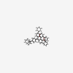 CC1(C)c2ccccc2-c2ccc(N(c3ccc(C4CCCCC4)cc3)c3ccc(C4C5CC6CC(C5)CC4C6)cc3)c(-c3ccccc3-c3ccccc3)c21